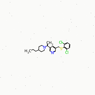 C=C(c1cncc(CSc2c(Cl)cccc2Cl)c1)N1CCC(CCC)CC1